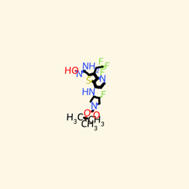 CC(C)(C)OC(=O)N1C[C@H](F)[C@H](Nc2ccnc3c(CC(F)(F)F)c(/C(N)=N/O)sc23)C1